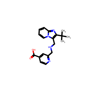 CC(C)(C)c1nc2ccccn2c1CNCc1cc(C(=O)O)ccn1